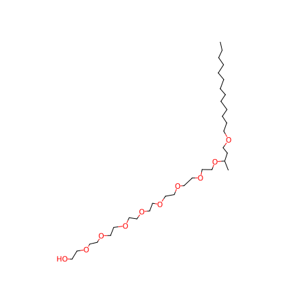 CCCCCCCCCCCCCOCCC(C)OCCOCCOCCOCCOCCOCCOCCOCCO